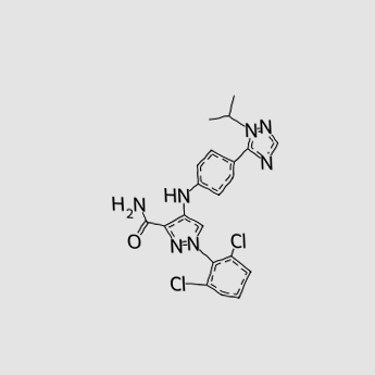 CC(C)n1ncnc1-c1ccc(Nc2cn(-c3c(Cl)cccc3Cl)nc2C(N)=O)cc1